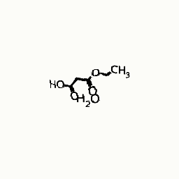 CCOC(=O)CC(=O)O.O